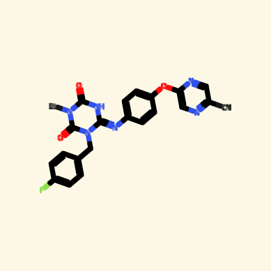 CCn1c(=O)[nH]/c(=N\c2ccc(Oc3cnc(C#N)cn3)cc2)n(Cc2ccc(F)cc2)c1=O